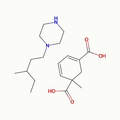 CC1(C(=O)O)C=CC=C(C(=O)O)C1.CCC(C)CCN1CCNCC1